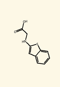 O=C(O)CNc1cc2ccccc2s1